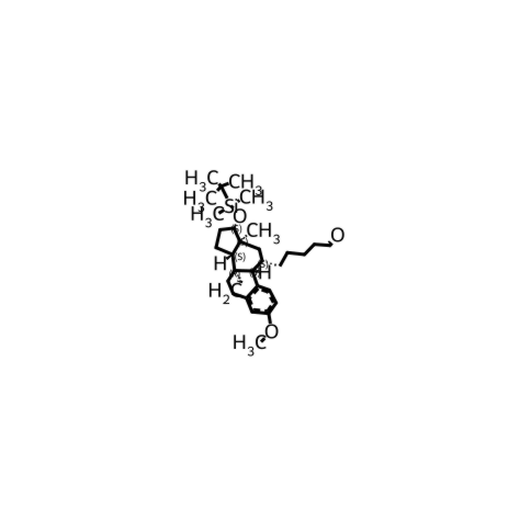 C=C[C@@]12CCc3cc(OC)ccc3[C@H]1[C@@H](CCCCC=O)C[C@]1(C)[C@@H](O[Si](C)(C)C(C)(C)C)CC[C@H]12